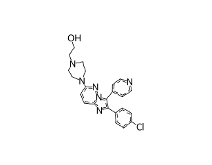 OCCN1CCN(c2ccc3nc(-c4ccc(Cl)cc4)c(-c4ccncc4)n3n2)CC1